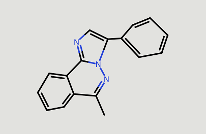 Cc1nn2c(-c3ccccc3)cnc2c2ccccc12